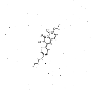 CCCCCC1=CCC(c2cc3ccc(OCC)c(F)c3c(F)c2F)CO1